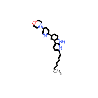 CCCCC/C=C/c1ccc2c(n1)[nH]c1ccc(-c3ccc(N4CCOCC4)cn3)cc12